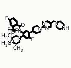 C[C@@H]1CN(c2cc(F)c(C3=CCN(c4ncc(CN5CCNCC5)cn4)CC3)cc2NC(=O)c2ccc(F)cc2C(F)(F)F)C[C@H](C)N1C